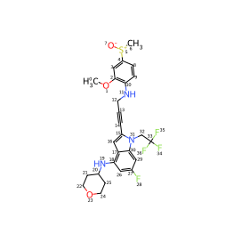 COc1cc([S+](C)[O-])ccc1NCC#Cc1cc2c(NC3CCOCC3)cc(F)cc2n1CC(F)(F)F